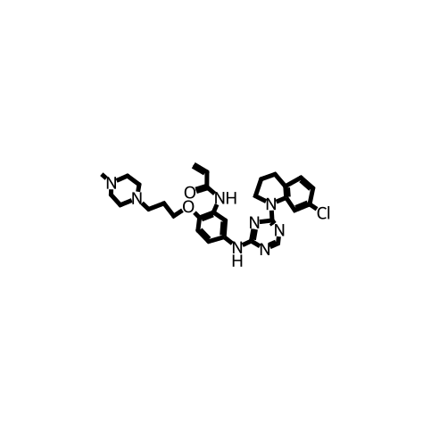 C=CC(=O)Nc1cc(Nc2ncnc(N3CCCc4ccc(Cl)cc43)n2)ccc1OCCCN1CCN(C)CC1